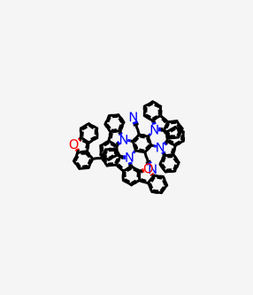 N#Cc1c(-n2c3ccccc3c3ccccc32)c(-n2c3ccccc3c3ccccc32)c(C#N)c(-n2c3ccc(-c4cccc5oc6ccccc6c45)cc3c3ccc4c5ccccc5oc4c32)c1-n1c2ccccc2c2ccccc21